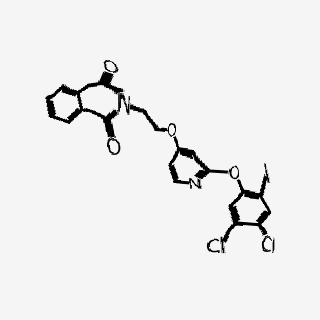 O=C1c2ccccc2C(=O)N1CCOc1ccnc(Oc2cc(Cl)c(Cl)cc2I)c1